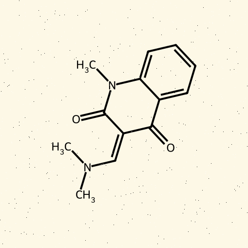 CN(C)C=C1C(=O)c2ccccc2N(C)C1=O